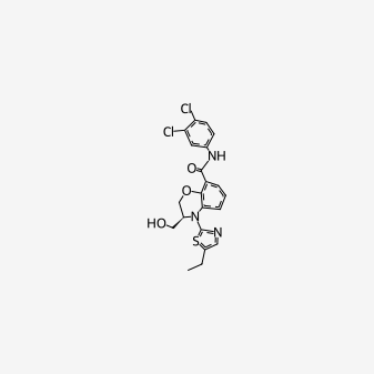 CCc1cnc(N2c3cccc(C(=O)Nc4ccc(Cl)c(Cl)c4)c3OC[C@@H]2CO)s1